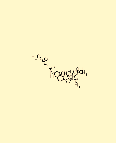 CCOC(=O)CCCC(=O)N[C@H]1CC[C@@]2(C)C(=CCC3C2CC[C@@]2(C)C3CC[C@@H]2C(C)CCC(C)(C)O)C1